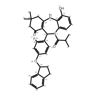 CC(C)C(=O)N1c2cccc(O)c2NC2=C(C(=O)CC(C)(C)C2)C1c1ccc(OC2CCc3ccccc32)cc1F